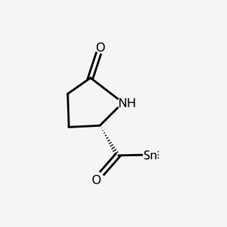 O=C1CC[C@@H]([C](=O)[Sn])N1